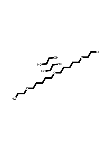 OCCO.OCCO.OCCOCCCCCOCCCCCOCCO